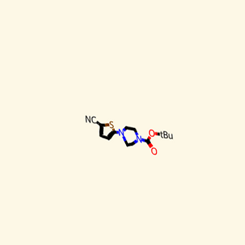 CC(C)(C)OC(=O)N1CCN(c2ccc(C#N)s2)CC1